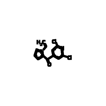 C=Cn1cccc1C(=O)c1cc(Cl)nc(Cl)c1